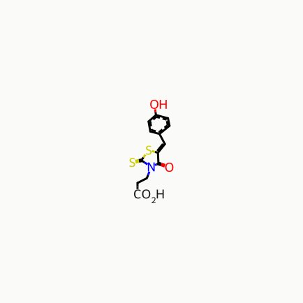 O=C(O)CCN1C(=O)C(=Cc2ccc(O)cc2)SC1=S